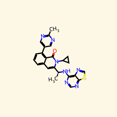 Cc1ncc(-c2cccc3cc([C@H](C)Nc4ncnc5scnc45)n(C4CC4)c(=O)c23)cn1